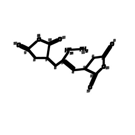 O=C1CC(C=C(CC2CC(=O)OC2=O)PP)C(=O)O1